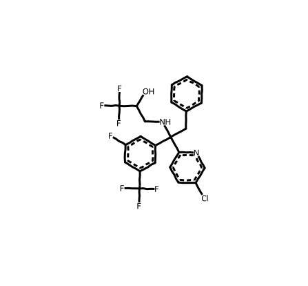 OC(CNC(Cc1ccccc1)(c1cc(F)cc(C(F)(F)F)c1)c1ccc(Cl)cn1)C(F)(F)F